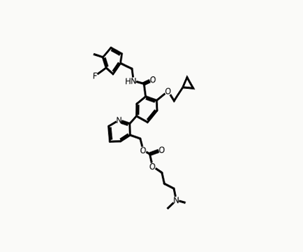 Cc1ccc(CNC(=O)c2cc(-c3ncccc3COC(=O)OCCCN(C)C)ccc2OCC2CC2)cc1F